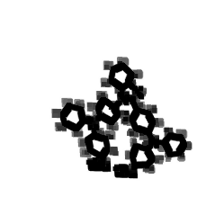 CC(C)(C)c1ccc(N(c2ccccc2)c2ccc(-c3nc4ccccc4n3-c3ccc(N(c4ccccc4)c4ccc(C(C)(C)C)cc4)cc3)cc2)cc1